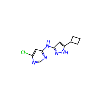 Clc1cc(Nc2cc(C3CCC3)[nH]n2)ncn1